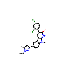 CCn1nc(-c2ccc3c(c2)c2cc(-c4ccc(Cl)cc4Cl)c(=O)n(C)c2n3C)cc1C